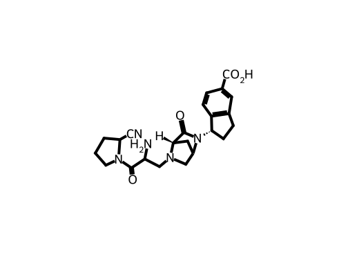 N#CC1CCCN1C(=O)C(N)CN1CC2C[C@H]1C(=O)N2[C@H]1CCc2cc(C(=O)O)ccc21